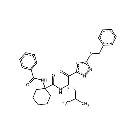 CC(C)C[C@H](NC(=O)C1(NC(=O)c2ccccc2)CCCCC1)C(=O)c1nnc(SCc2ccccc2)o1